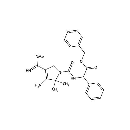 CNC(=N)C1=C(N)C(C)(C)N(C(=O)NC(C(=O)OCc2ccccc2)c2ccccc2)C1